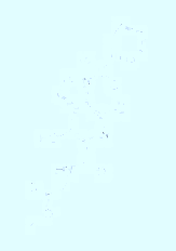 COC(=O)CNC(=O)c1nc(Cl)c2c(ccn2S(=O)(=O)c2ccccc2)c1O